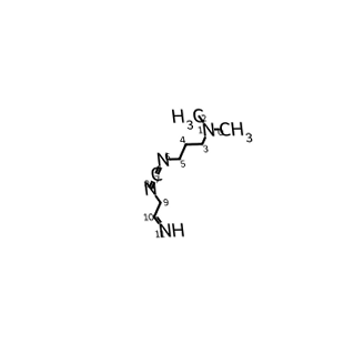 CN(C)CCCN=C=NCC=N